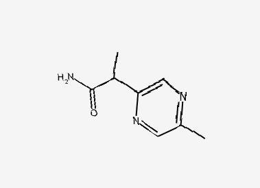 Cc1cnc(C(C)C(N)=O)cn1